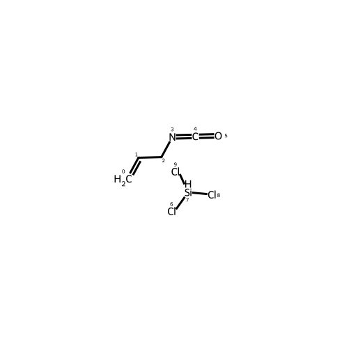 C=CCN=C=O.Cl[SiH](Cl)Cl